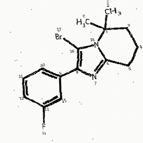 CC1(C)CCCc2nc(-c3cccc(F)c3)c(Br)n21